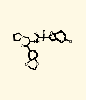 O=C(c1ccc2c(c1)OCCO2)[C@@H](CN1CCCC1)NC(=O)C(F)(F)c1cc2cc(Cl)ccc2o1